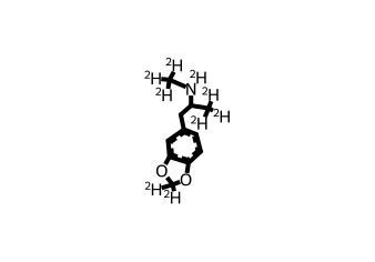 [2H]N(C(Cc1ccc2c(c1)OC([2H])([2H])O2)C([2H])([2H])[2H])C([2H])([2H])[2H]